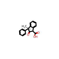 C[C@@]1(c2ccccc2)C(=O)C(C(=O)O)c2ccccc21